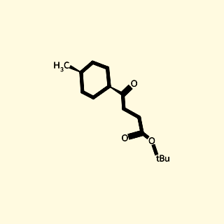 CC(C)(C)OC(=O)CCC(=O)[C@H]1CC[C@@H](C)CC1